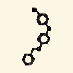 Brc1ccc(Oc2ccc(OCc3ccccc3)cc2)cc1